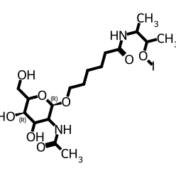 CC(=O)NC1C(O)[C@@H](O)C(CO)O[C@H]1OCCCCCC(=O)NC(C)C(C)OI